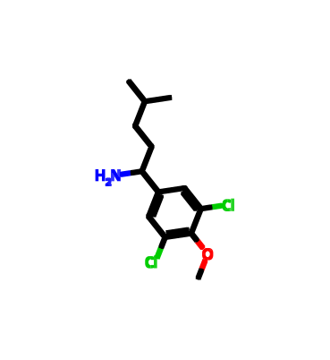 COc1c(Cl)cc(C(N)CCC(C)C)cc1Cl